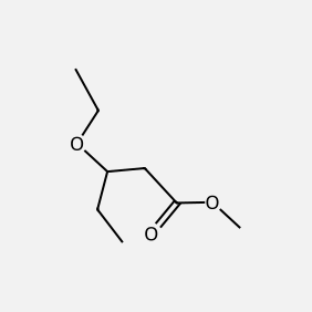 CCOC(CC)CC(=O)OC